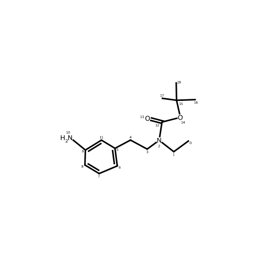 CCN(CCc1cccc(N)c1)C(=O)OC(C)(C)C